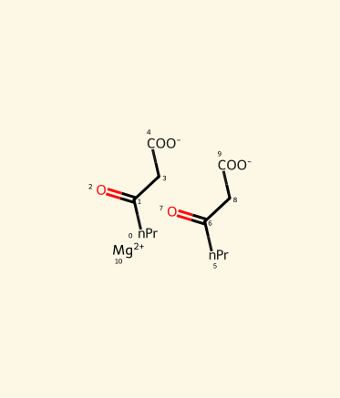 CCCC(=O)CC(=O)[O-].CCCC(=O)CC(=O)[O-].[Mg+2]